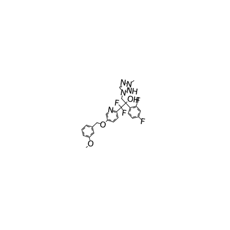 COc1cccc(COc2ccc(C(F)(F)C(O)(CN3C=NN(C)N3)c3ccc(F)cc3F)nc2)c1